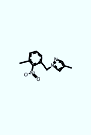 Cc1cnn(Cc2cccc(C)c2[N+](=O)[O-])c1